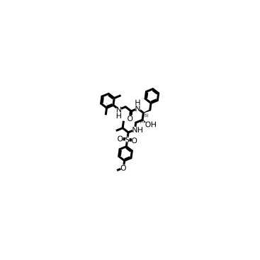 COc1ccc(S(=O)(=O)C(NC[C@@H](O)[C@H](Cc2ccccc2)NC(=O)CNc2c(C)cccc2C)C(C)C)cc1